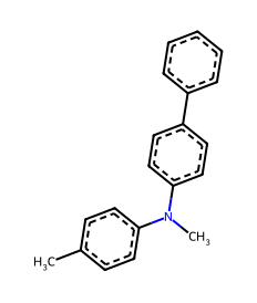 Cc1ccc(N(C)c2ccc(-c3ccccc3)cc2)cc1